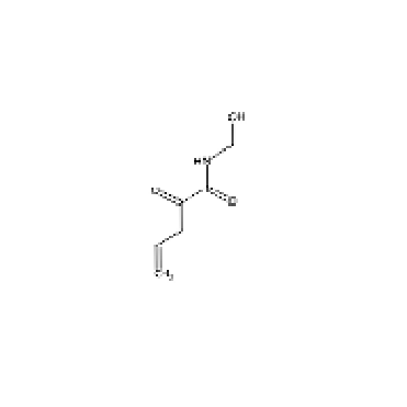 C=CCC(=O)C(=O)NCO